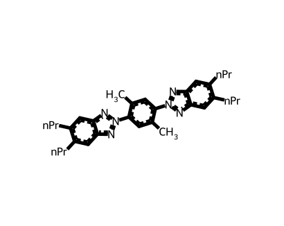 CCCc1cc2nn(-c3cc(C)c(-n4nc5cc(CCC)c(CCC)cc5n4)cc3C)nc2cc1CCC